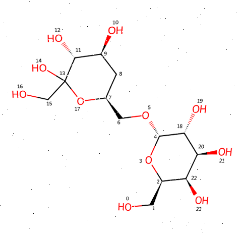 OC[C@H]1O[C@H](OC[C@@H]2C[C@H](O)[C@@H](O)C(O)(CO)O2)[C@H](O)[C@@H](O)[C@H]1O